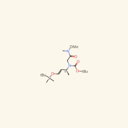 CON(C)C(=O)CN(C(=O)OC(C)(C)C)[C@@H](C)C=CO[Si](C)(C)C(C)(C)C